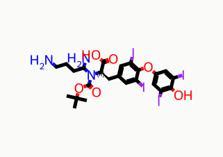 CC(C)(C)OC(=O)N(C(N)CCCN)[C@H](Cc1cc(I)c(Oc2cc(I)c(O)c(I)c2)c(I)c1)C(=O)O